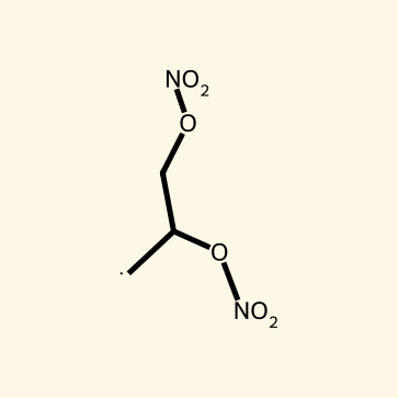 [CH2]C(CO[N+](=O)[O-])O[N+](=O)[O-]